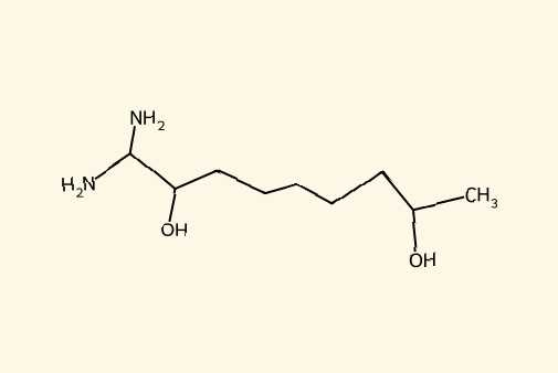 CC(O)CCCCCC(O)C(N)N